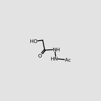 CC(=O)NNC(=O)CO